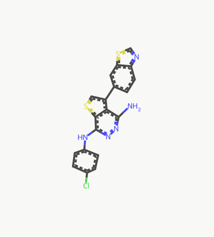 Nc1nnc(Nc2ccc(Cl)cc2)c2scc(-c3ccc4ncsc4c3)c12